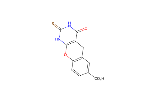 O=C(O)c1ccc2c(c1)Cc1c([nH]c(=S)[nH]c1=O)O2